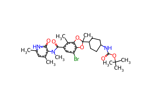 Cc1cc(C)c(N(C)C(=O)c2cc(Br)c3c(c2C)OC(C)(C2CCC(NC(=O)OC(C)(C)C)CC2)O3)c(=O)[nH]1